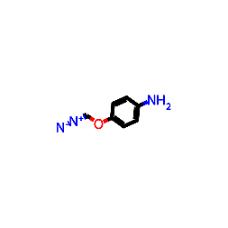 [N-]=[N+]=COc1ccc(N)cc1